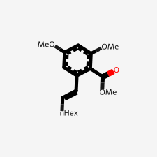 CCCCCC/C=C/c1cc(OC)cc(OC)c1C(=O)OC